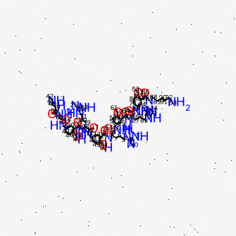 C=NC(=N)NCCC[C@@H](NC(=O)c1cc(NC(=O)[C@@H](CCCNC(=N)N)NC(=O)c2cc(NC(=O)CNC(=O)CCNC)ccc2OC)ccc1OC)C(=O)Nc1ccc(OC)c(C(=O)N[C@H](CCCNC(=N)N=C)C(=O)Nc2ccc(OC)c(C(=O)NCCCCCN)c2)c1